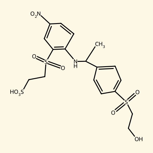 CC(Nc1ccc([N+](=O)[O-])cc1S(=O)(=O)CCS(=O)(=O)O)c1ccc(S(=O)(=O)CCO)cc1